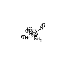 NC(=O)C(CCCN1CCOCC1)n1nc([N+](=O)[O-])nc1C(=O)NCCCN1CCOCC1